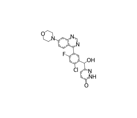 O=c1ccc(C(O)c2cc(-c3ncnc4cc(N5CCOCC5)ccc34)c(F)cc2Cl)n[nH]1